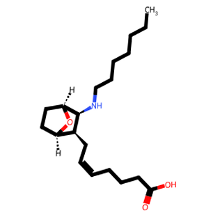 CCCCCCCN[C@H]1[C@@H](C/C=C\CCCC(=O)O)[C@H]2CC[C@@H]1O2